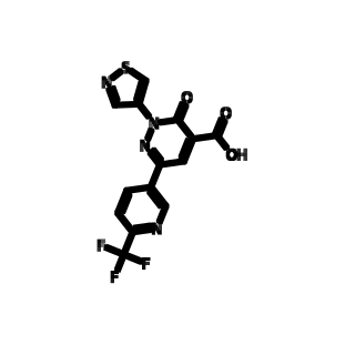 O=C(O)c1cc(-c2ccc(C(F)(F)F)nc2)nn(-c2cnsc2)c1=O